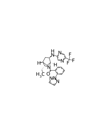 CC[C@@H]1[C@@H]2C[C@@H](Nc3cnc(C(F)(F)F)cn3)[C@H](C2)N1C(=O)c1ccccc1-n1nccn1